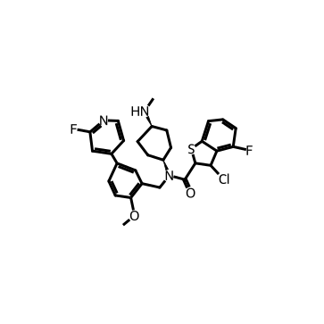 CN[C@H]1CC[C@@H](N(Cc2cc(-c3ccnc(F)c3)ccc2OC)C(=O)C2Sc3cccc(F)c3C2Cl)CC1